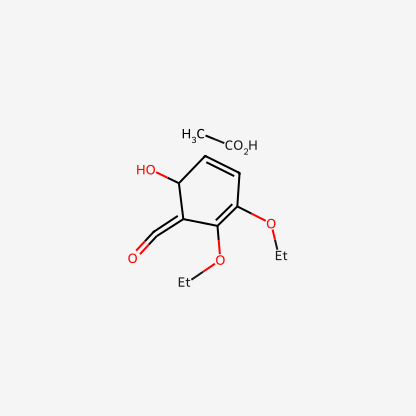 CC(=O)O.CCOC1=C(OCC)C(=C=O)C(O)C=C1